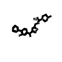 CC(c1ccc(-c2ccccc2)c(F)c1)c1cc(C/N=C(\N)N2CCN(C)CC2)on1